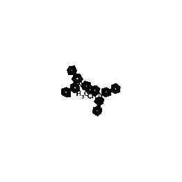 CC1(C)c2cc(N(c3ccc(-c4ccccc4)cc3)c3ccc(-c4ccccc4)cc3)ccc2-c2ccc(-n3c4ccc(-c5ccccc5)cc4c4cc(-c5ccccc5)ccc43)cc21